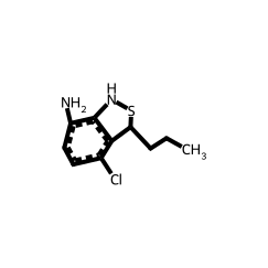 CCCC1SNc2c(N)ccc(Cl)c21